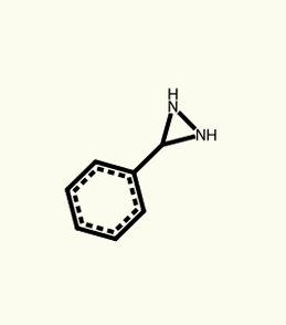 c1ccc(C2NN2)cc1